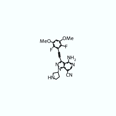 COc1cc(OC)c(F)c(C#Cc2nn([C@H]3CCNC3)c3c(C#N)cnc(N)c23)c1F